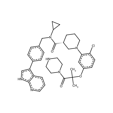 CC(C)(Oc1ccc(Cl)c(N2CCC[C@@H](C(=O)N(Cc3ccc(-c4c[nH]c5ncccc45)cc3)C3CC3)C2)c1)C(=O)N1CCNCC1